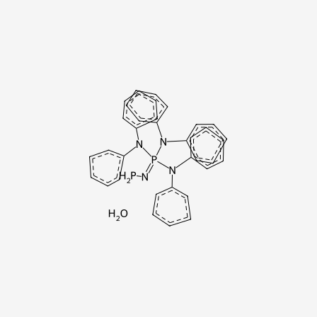 O.PN=P(N(c1ccccc1)c1ccccc1)(N(c1ccccc1)c1ccccc1)N(c1ccccc1)c1ccccc1